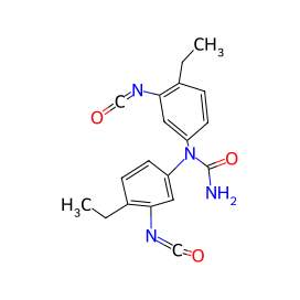 CCc1ccc(N(C(N)=O)c2ccc(CC)c(N=C=O)c2)cc1N=C=O